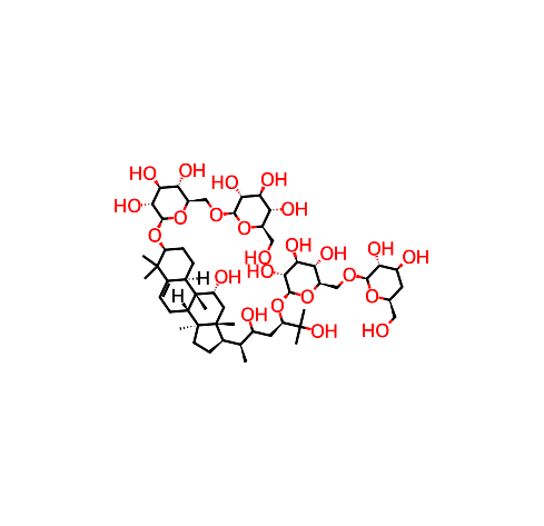 C[C@H](C(O)C[C@@H](O[C@@H]1O[C@H](CO[C@@H]2O[C@H](CO)C[C@H](O)[C@H]2O)[C@@H](O)[C@H](O)[C@H]1O)C(C)(C)O)[C@H]1CC[C@@]2(C)[C@@H]3CC=C4[C@@H](CC[C@H](O[C@@H]5O[C@H](CO[C@@H]6O[C@H](CO)[C@@H](O)[C@H](O)[C@H]6O)[C@@H](O)[C@H](O)[C@H]5O)C4(C)C)[C@]3(C)[C@H](O)C[C@]12C